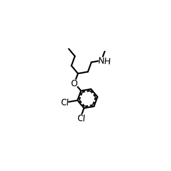 CCCC(CCNC)Oc1cccc(Cl)c1Cl